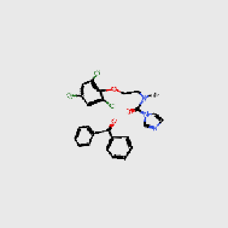 CCCN(CCOc1c(Cl)cc(Cl)cc1Cl)C(=O)n1ccnc1.O=C(c1ccccc1)c1ccccc1